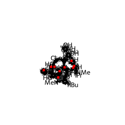 CCCCOc1ccc(OCCNC)c(NC(=O)NC(=O)C[C@@H]2NC(=O)[C@H](NC(=O)[C@@H](CC(C)C)NC)[C@H](O)c3ccc(c(C)c3)Oc3cc4cc(c3O[C@@H]3O[C@H](CO)[C@@H](O)[C@H](O)[C@H]3O[C@H]3C[C@](C)(N)[C@H](O)[C@H](C)O3)Oc3ccc(cc3Cl)[C@@H](O)[C@@H]3NC(=O)[C@H](NC(=O)[C@@H]4NC2=O)c2ccc(O)c(c2)-c2c(O)cc(O)cc2[C@@H](C(=O)NC2C4CC5CC(C4)CC2C5)NC3=O)c1